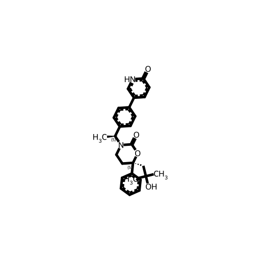 C[C@@H](c1ccc(-c2ccc(=O)[nH]c2)cc1)N1CC[C@](CC(C)(C)O)(c2ccccc2)OC1=O